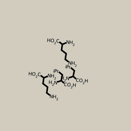 CC(C)CC(N)C(=O)O.CC(C)CC(N)C(=O)O.NCCCC(N)C(=O)O.NCCCC(N)C(=O)O